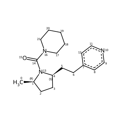 C[C@@H]1CC[C@H](CCc2ccncc2)N1C(=O)N1CCCCC1